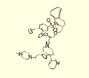 CN1CCN(CCOC2(c3cccnc3)CCN(C(=O)COCC3CCc4ccccc4N3S(=O)(=O)c3ccc(Cl)c(Cl)c3)CC2)CC1